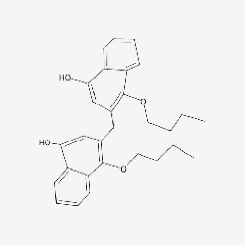 CCCCOc1c(Cc2cc(O)c3ccccc3c2OCCCC)cc(O)c2ccccc12